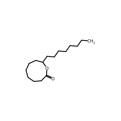 CCCCCCCCC1CCCCCCC(=O)O1